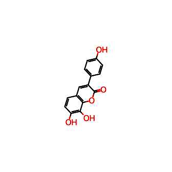 O=c1oc2c(O)c(O)ccc2cc1-c1ccc(O)cc1